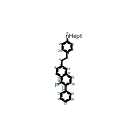 CCCCCCCc1ccc(CCc2ccc3c(F)c(-c4ccccc4)ccc3c2)cc1